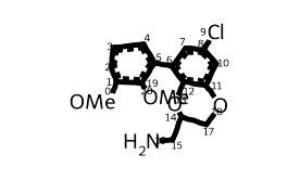 COc1cccc(-c2cc(Cl)cc3c2OC(CN)CO3)c1OC